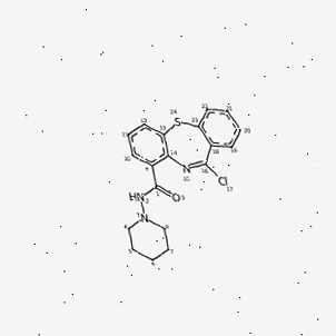 O=C(NN1CCCCC1)c1cccc2c1N=C(Cl)c1ccccc1S2